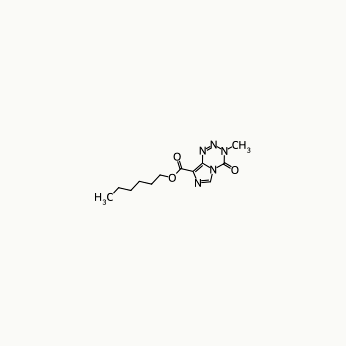 CCCCCCOC(=O)c1ncn2c(=O)n(C)nnc12